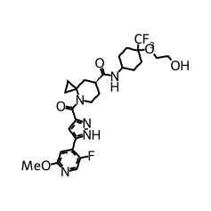 COc1cc(-c2cc(C(=O)N3CC[C@H](C(=O)NC4CCC(OCCO)(C(F)(F)F)CC4)CC34CC4)n[nH]2)c(F)cn1